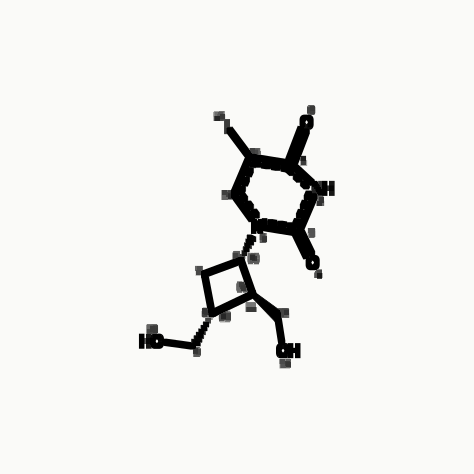 O=c1[nH]c(=O)n([C@H]2C[C@@H](CO)[C@@H]2CO)cc1I